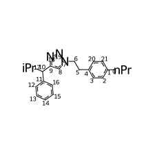 CCCc1ccc(CCn2cc(C(c3ccccc3)C(C)C)nn2)cc1